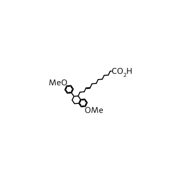 COc1ccc(C2CCc3cc(OC)ccc3C2CCC=CCCCCCCCC(=O)O)cc1